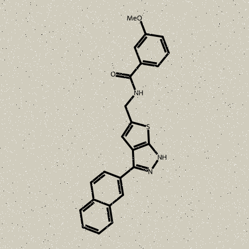 COc1cccc(C(=O)NCc2cc3c(-c4ccc5ccccc5c4)n[nH]c3s2)c1